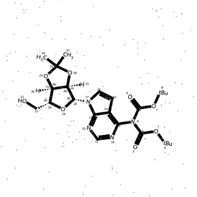 CC(C)(C)OC(=O)N(C(=O)OC(C)(C)C)c1ncnc2c1ccn2[C@@H]1O[C@H](CO)[C@H]2OC(C)(C)O[C@H]21